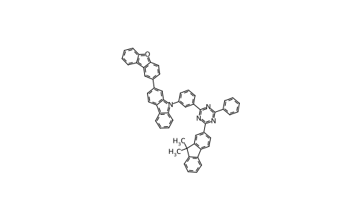 CC1(C)c2ccccc2-c2ccc(-c3nc(-c4ccccc4)nc(-c4cccc(-n5c6ccccc6c6ccc(-c7ccc8oc9ccccc9c8c7)cc65)c4)n3)cc21